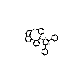 c1ccc(-c2nc(-c3ccccc3)nc(-n3c4cccc(c4)oc4ccc5cccc(c5c4)c4ccccc43)n2)cc1